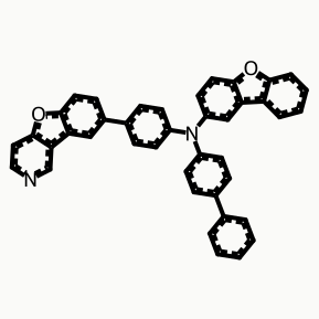 c1ccc(-c2ccc(N(c3ccc(-c4ccc5oc6ccncc6c5c4)cc3)c3ccc4oc5ccccc5c4c3)cc2)cc1